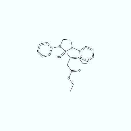 CC/C=C(\CC(=O)OCC)P1(=N)N(c2ccccc2)CCN1c1ccccc1